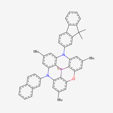 CC(C)(C)c1cc2c3c(c1)N(c1ccc4c(c1)C(C)(C)c1ccccc1-4)c1cc(C(C)(C)C)cc4c1P3(=S)c1c(cc(C(C)(C)C)cc1N4c1ccc3ccccc3c1)O2